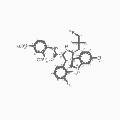 CCOC(=O)c1ccc(NC(=O)[C@@H]2N[C@@H](CC(C)(C)CF)[C@@]3(C(=O)Nc4cc(Cl)ccc43)C2c2cccc(Cl)c2F)c(OC)c1